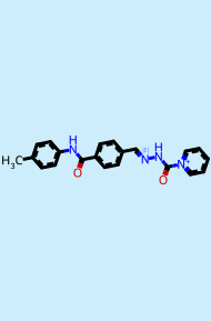 Cc1ccc(NC(=O)c2ccc(/C=N/NC(=O)[n+]3ccccc3)cc2)cc1